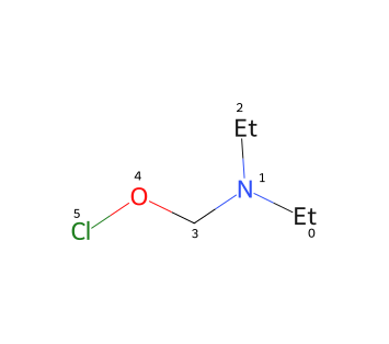 CCN(CC)COCl